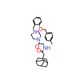 Cc1ccc(COc2ccccc2CN2CCN(C(=O)CNC(=O)CC34CC5CC(CC(C5)C3)C4)CC2)cc1